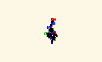 CCN1C(=O)N(c2c(F)cc(NCCNCCO)cc2F)c2cc(Cl)ccc2-c2nc(C#N)ccc21